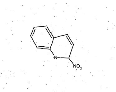 O=[N+]([O-])C1C=Cc2ccccc2[N]1